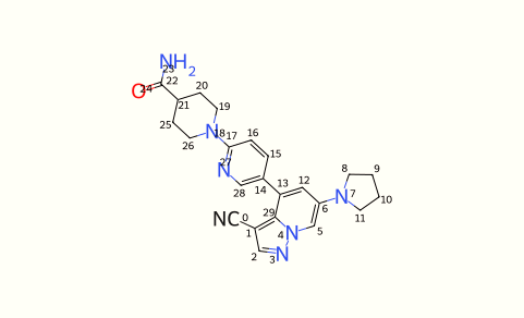 N#Cc1cnn2cc(N3CCCC3)cc(-c3ccc(N4CCC(C(N)=O)CC4)nc3)c12